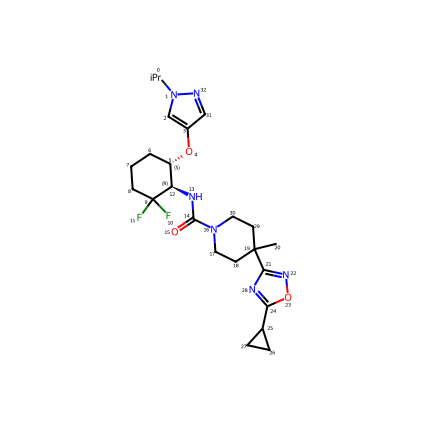 CC(C)n1cc(O[C@H]2CCCC(F)(F)[C@@H]2NC(=O)N2CCC(C)(c3noc(C4CC4)n3)CC2)cn1